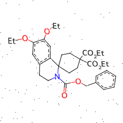 CCOC(=O)C1(C(=O)OCC)CCC2(CC1)c1cc(OCC)c(OCC)cc1CCN2C(=O)OCc1ccccc1